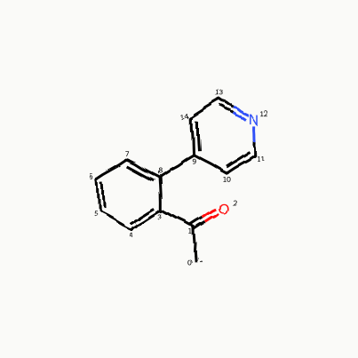 [CH2]C(=O)c1ccccc1-c1ccncc1